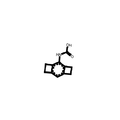 O=C(O)Nc1c2c(cc3c1CC3)CC2